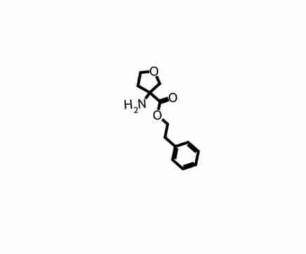 NC1(C(=O)OCCc2ccccc2)CCOC1